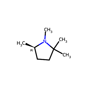 C[C@@H]1CCC(C)(C)N1C